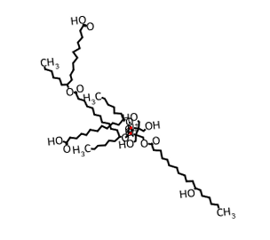 CCCCCCC(O)CCCCCCCCCCC(=O)OCC(CO)([N+](=O)OC(CCCCCC)CCCCCCCCCCC(=O)OC(CCCCCC)CCCCCCCCCCC(=O)O)C(CO)(CO)[N+](=O)OC(CCCCCC)CCCCCCCCCCC(=O)O